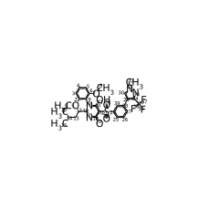 COc1cccc(OC)c1-n1c(CCC(C)C)nc(=O)c(S(=O)(=O)c2cccc(-c3cn(C)nc3C(F)(F)F)c2)c1O